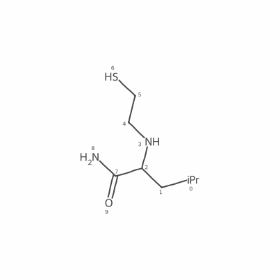 CC(C)CC(NCCS)C(N)=O